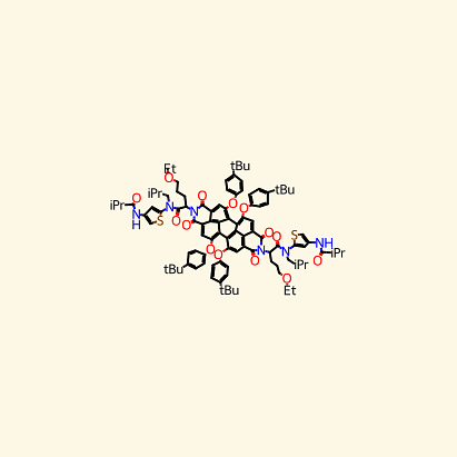 CCOCCCC(C(=O)N(CC(C)C)c1cc(NC(=O)C(C)C)cs1)N1C(=O)c2cc(Oc3ccc(C(C)(C)C)cc3)c3c4c(Oc5ccc(C(C)(C)C)cc5)cc5c6c(cc(Oc7ccc(C(C)(C)C)cc7)c(c7c(Oc8ccc(C(C)(C)C)cc8)cc(c2c37)C1=O)c64)C(=O)N(C(CCCOCC)C(=O)N(CC(C)C)c1cc(NC(=O)C(C)C)cs1)C5=O